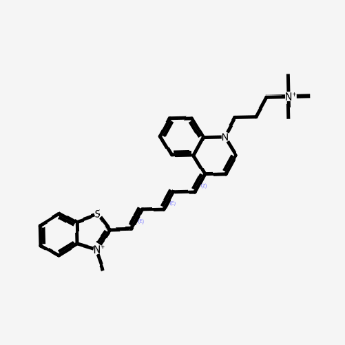 C[n+]1c(/C=C/C=C/C=C2/C=CN(CCC[N+](C)(C)C)c3ccccc32)sc2ccccc21